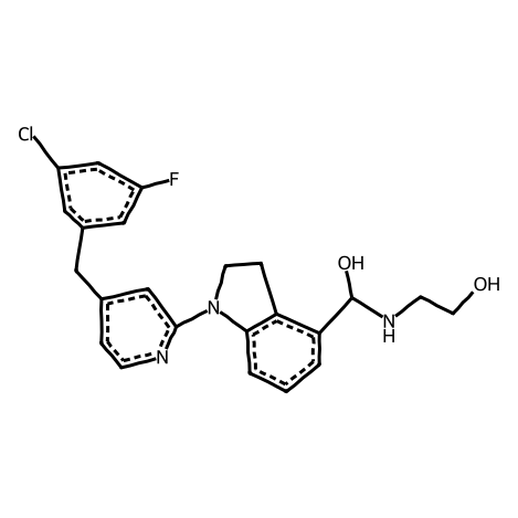 OCCNC(O)c1cccc2c1CCN2c1cc(Cc2cc(F)cc(Cl)c2)ccn1